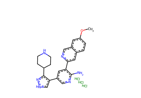 COc1ccc2cc(-c3cc(-c4c[nH]nc4C4CCNCC4)cnc3N)ncc2c1.Cl.Cl.Cl